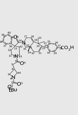 CC(C)(C)OC(=O)N1CC(CC(=O)N2CCC(C(=O)N3CC=C4C(C)(C)C(c5ccc(C(=O)O)cc5)=CC[C@]4(C)C3)(c3ccccc3)CC2)C1